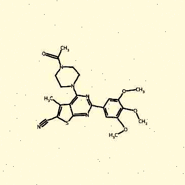 COc1cc(-c2nc(N3CCN(C(C)=O)CC3)c3c(C)c(C#N)sc3n2)cc(OC)c1OC